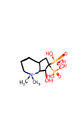 C[N+]1(C)CCCC2CC(P(=O)(O)O)(P(=O)(O)O)C(O)C21